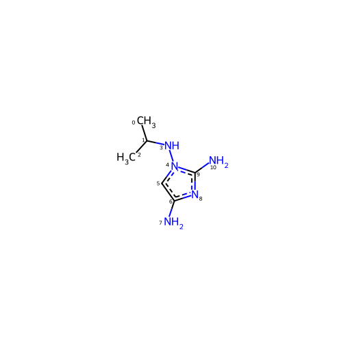 CC(C)Nn1cc(N)nc1N